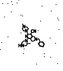 CC1CNCCN1c1nc(N2CCN(C)CC2)c(C#N)c2c1CCN(Cc1ccccc1)C2